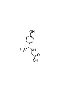 CC(NCC(=O)O)c1ccc(O)cc1